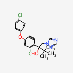 CC(C)(C)C(O)(Cn1cncn1)c1c#cc(Oc2ccc(Cl)cc2)cc1Cl